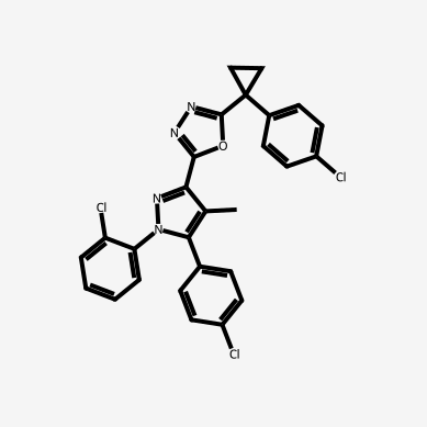 Cc1c(-c2nnc(C3(c4ccc(Cl)cc4)CC3)o2)nn(-c2ccccc2Cl)c1-c1ccc(Cl)cc1